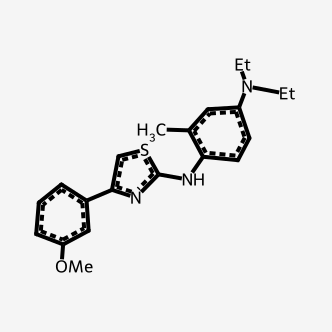 CCN(CC)c1ccc(Nc2nc(-c3cccc(OC)c3)cs2)c(C)c1